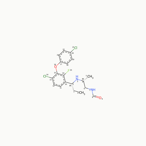 CC[C@@H](N[C@H](C)CNC=O)c1ccc(Cl)c(Oc2ccc(Cl)cc2)c1F